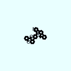 CC1(C)c2ccccc2-c2ccc3c4ccncc4n(-c4ccc(-c5cccc6oc7ccccc7c(=O)c56)cc4)c3c21